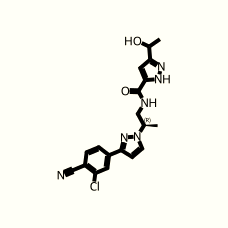 CC(O)c1cc(C(=O)NC[C@@H](C)n2ccc(-c3ccc(C#N)c(Cl)c3)n2)[nH]n1